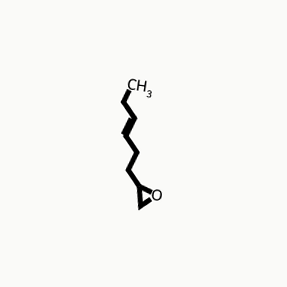 CCC=CCCC1CO1